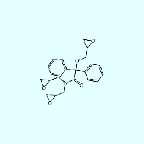 O=C(N(CC1CO1)CC1CO1)C(OCC1CO1)(c1ccccc1)c1ccccc1